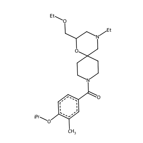 CCOCC1CN(CC)CC2(CCN(C(=O)c3ccc(OC(C)C)c(C)c3)CC2)O1